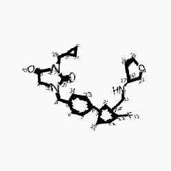 O=C1CN(Cc2ccc(-c3ccc(F)c(CN[C@H]4CCOC4)c3)cc2)C(=O)N1CC1CC1